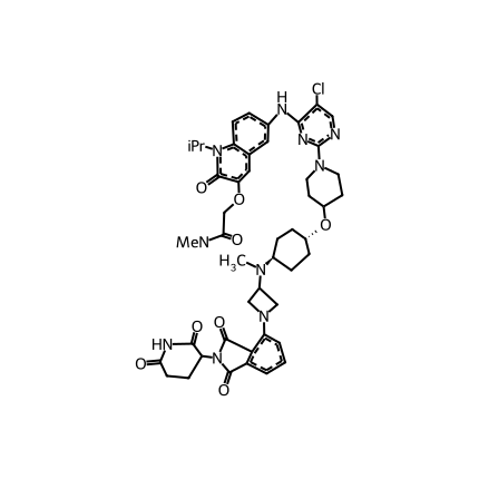 CNC(=O)COc1cc2cc(Nc3nc(N4CCC(O[C@H]5CC[C@H](N(C)C6CN(c7cccc8c7C(=O)N(C7CCC(=O)NC7=O)C8=O)C6)CC5)CC4)ncc3Cl)ccc2n(C(C)C)c1=O